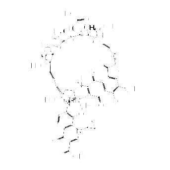 COc1c(N2CCC(NC3=C4NC(=O)/C(C)=C\C=C\[C@H](C)[C@H](O)[C@@H](C)[C@@H](O)[C@@H](C)[C@H](OC(C)=O)[C@H](C)[C@@H](OC)/C=C/O[C@@]5(C)Oc6c(C)c(O)c(c(c6C5=O)C3=O)C4=O)C2)c(F)cc2c(=O)c(C(=O)O)cn(C3CC3)c12